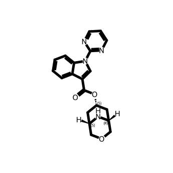 O=C(O[C@H]1C[C@H]2COC[C@@H](C1)N2)c1cn(-c2ncccn2)c2ccccc12